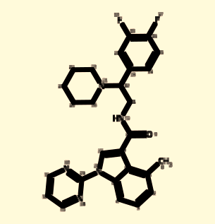 Cc1cccc2c1c(C(=O)NCC(c1ccc(F)c(F)c1)N1CCCCC1)cn2-c1ncccn1